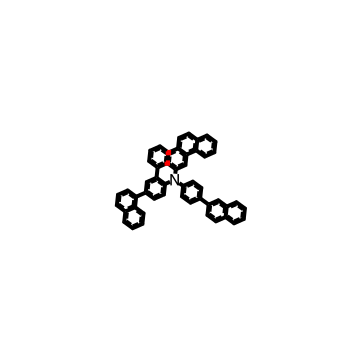 c1ccc(-c2cc(-c3cccc4ccccc34)ccc2N(c2ccc(-c3ccc4ccccc4c3)cc2)c2ccc3ccc4ccccc4c3c2)cc1